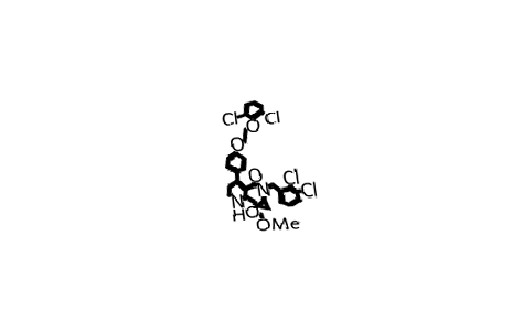 COCOCC1NCCC(c2ccc(OCCOc3c(Cl)cccc3Cl)cc2)=C1C(=O)N(Cc1cccc(Cl)c1Cl)C1CC1